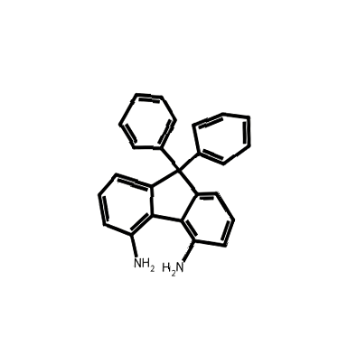 Nc1cccc2c1-c1c(N)cccc1C2(c1ccccc1)c1ccccc1